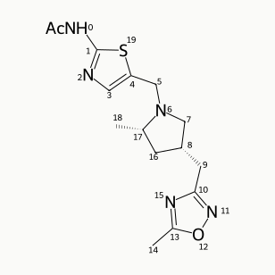 CC(=O)Nc1ncc(CN2C[C@H](Cc3noc(C)n3)C[C@@H]2C)s1